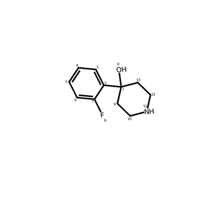 OC1(c2ccccc2F)CCNCC1